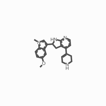 COc1ccc2c(c1)c(C1Cc3c(C4=CCNCC4)ccnc3N1)cn2C